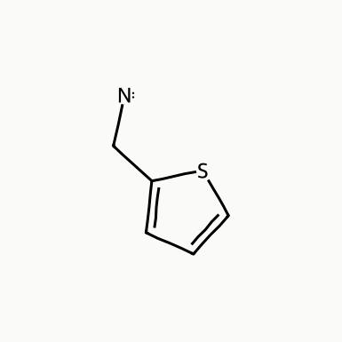 [N]Cc1cccs1